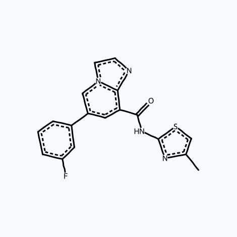 Cc1csc(NC(=O)c2cc(-c3cccc(F)c3)cn3ccnc23)n1